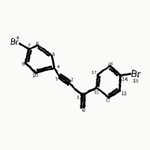 C=C(C#Cc1ccc(Br)cc1)c1ccc(Br)cc1